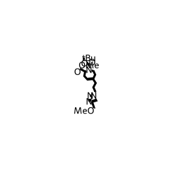 COCc1cn(CCCC2=CCC(C(=O)OC)N(C(=O)OC(C)(C)C)CC2)nn1